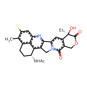 CC[C@]1(O)C(=O)OCc2c1cc1n(c2=O)Cc2c-1nc1cc(F)c(C)c3c1c2[C@H](NC(C)=O)CC3